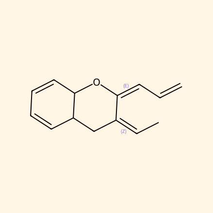 C=C/C=C1/OC2C=CC=CC2C/C1=C/C